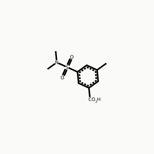 Cc1cc(C(=O)O)cc(S(=O)(=O)N(C)C)c1